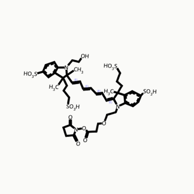 CC1(CCCS(=O)(=O)O)\C(=C/C=C/C=C/C=C/C2(C)N(CCO)c3ccc(S(=O)(=O)O)cc3C2(C)CCCS(=O)(=O)O)N(CCOCCC(=O)ON2C(=O)CCC2=O)c2ccc(S(=O)(=O)O)cc21